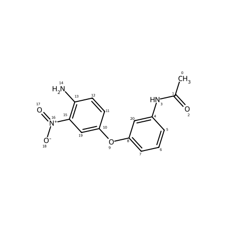 CC(=O)Nc1cccc(Oc2ccc(N)c([N+](=O)[O-])c2)c1